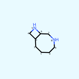 C1CCC2CNC2CNC1